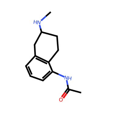 CNC1CCc2c(cccc2NC(C)=O)C1